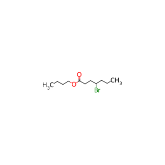 CCCCOC(=O)CCC(Br)CCC